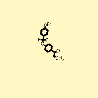 C=CC(=O)c1ccc(OC(F)(F)c2ccc(CCC)cc2)cc1